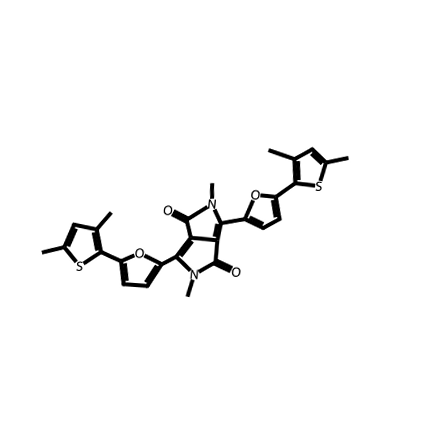 Cc1cc(C)c(-c2ccc(C3=C4C(=O)N(C)C(c5ccc(-c6sc(C)cc6C)o5)=C4C(=O)N3C)o2)s1